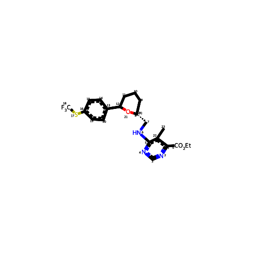 CCOC(=O)c1ncnc(NC[C@H]2CCCC(c3ccc(SC(F)(F)F)cc3)O2)c1C